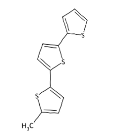 Cc1ccc(-c2ccc(-c3cccs3)s2)s1